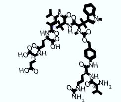 C/C(=C\[C@H](C(C)C)N(C)C(=O)[C@@H](NC(=O)C(N(C)C(=O)OCc1ccc(NC(=O)[C@H](CCCNC(N)=O)NC(=O)[C@@H](N)C(C)C)cc1)C(C)(C)c1cn(C)c2ccccc12)C(C)(C)C)C(=O)N[C@H](CCC(=O)N[C@H](CCC(=O)O)C(=O)O)C(=O)O